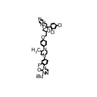 CCC(C)n1ncn(-c2ccc(N3CCN(c4ccc(OCC5COC(Cn6cncn6)(c6ccc(Cl)cc6Cl)O5)cc4)C(C)C3)cc2F)c1=O